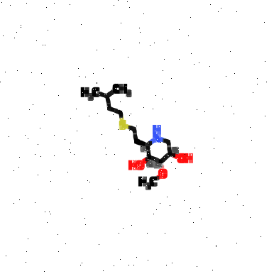 CO[C@@H]1[C@@H](O)[C@@H](CCSCCC(C)C)NC[C@H]1O